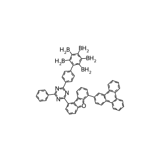 Bc1c(B)c(B)c(-c2ccc(-c3nc(-c4ccccc4)nc(-c4cccc5oc6c(-c7ccc8c9ccccc9c9ccccc9c8c7)cccc6c45)n3)cc2)c(B)c1B